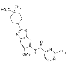 COc1cc2nc(C3CCC(C)(C(=O)O)CC3)sc2cc1NC(=O)c1ccnc(C)n1